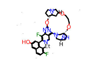 CCc1c(F)ccc2cc(O)cc(-c3ncc4c5nc(nc4c3F)OC[C@]34CCCN3C[C@@H](C4)OCCCOC[C@@]34CC[C@@H](CN5C3)N4)c12